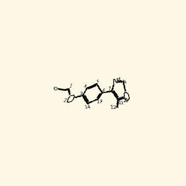 CCOc1ccc(-c2n[c]oc2C)cc1